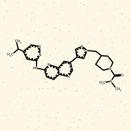 CC(C)c1cnnc(Nc2ccc3ncc(-c4cnn(CC5CCN(C(=O)N(C)C)CC5)c4)cc3n2)c1